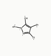 CCCn1nc(CC)c(C(C)C)c1O